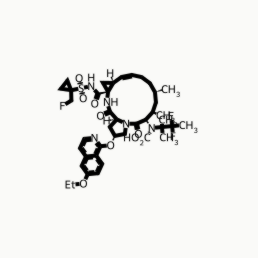 CCOc1ccc2c(O[C@@H]3C[C@H]4C(=O)N[C@]5(C(=O)NS(=O)(=O)C6(CF)CC6)C[C@H]5C=CCC[C@H](C)C[C@@H](C)[C@H](N(C(=O)O)C(C)(C)C(C)(F)F)C(=O)N4C3)nccc2c1